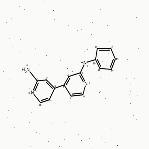 Nc1cc(-c2ccnc(Nc3ccccc3)c2)ccn1